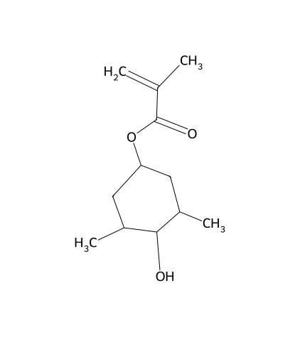 C=C(C)C(=O)OC1CC(C)C(O)C(C)C1